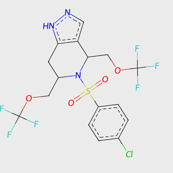 O=S(=O)(c1ccc(Cl)cc1)N1C(COC(F)(F)F)Cc2[nH]ncc2C1COC(F)(F)F